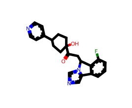 O=C(CC1c2c(F)cccc2-c2cncn21)C1(O)CCC(c2ccncc2)CC1